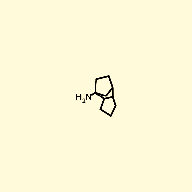 NC12CCC(C1)C1CCCC12